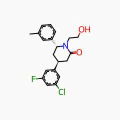 Cc1cccc([C@H]2C[C@H](c3cc(F)cc(Cl)c3)CC(=O)N2CCO)c1